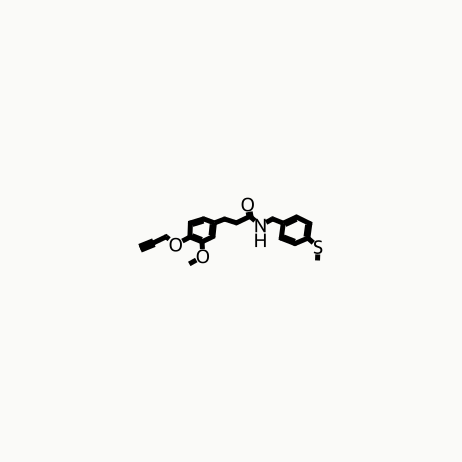 C#CCOc1ccc(CCC(=O)NCc2ccc(SC)cc2)cc1OC